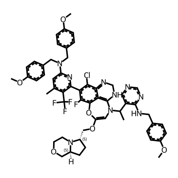 COc1ccc(CNc2ncncc2C(C)N2C=C(OC[C@@H]3CC[C@H]4COCCN43)Oc3c(F)c(-c4nc(N(Cc5ccc(OC)cc5)Cc5ccc(OC)cc5)cc(C)c4C(F)(F)F)c(Cl)c4c3=C2NCN=4)cc1